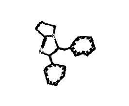 c1ccc(C2N=C3CCCN3C2c2ccccc2)cc1